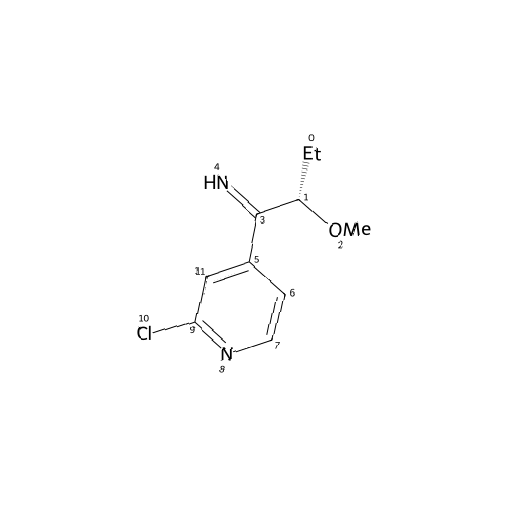 CC[C@H](OC)C(=N)c1ccnc(Cl)c1